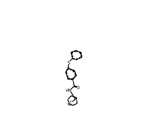 O=C(NC1CN2CCC1CC2)c1ccc(Sc2ccccc2)cc1